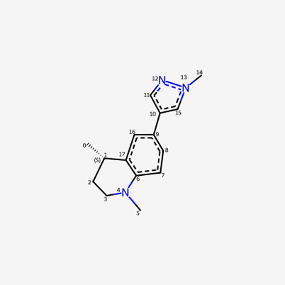 C[C@H]1CCN(C)c2ccc(-c3cnn(C)c3)cc21